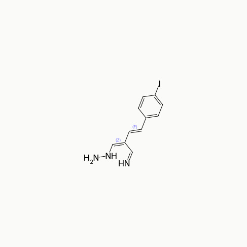 N=CC(=C\NN)/C=C/c1ccc(I)cc1